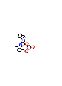 CCc1cccc(CC)c1-c1cc(Oc2cc(OC)cc(OC)c2)c(CN2CCc3ccccc3C2)c(C)n1